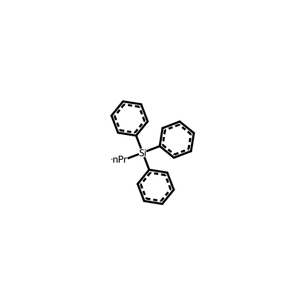 CC[CH][Si](c1ccccc1)(c1ccccc1)c1ccccc1